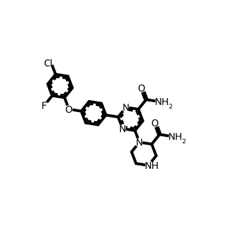 NC(=O)c1cc(N2CCNCC2C(N)=O)nc(-c2ccc(Oc3ccc(Cl)cc3F)cc2)n1